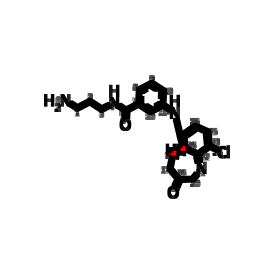 NCCCNC(=O)c1cccc(NC2=NC=C3CC(=O)CN=C4C(Cl)=CC=CC34N2)c1